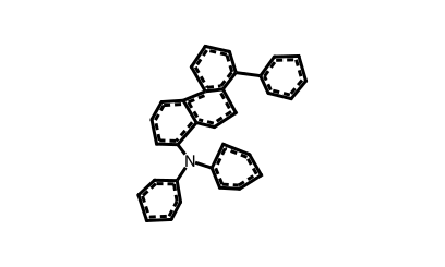 c1ccc(-c2cccc3c2ccc2c(N(c4ccccc4)c4ccccc4)cccc23)cc1